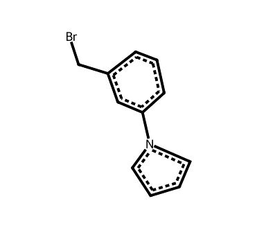 BrCc1cccc(-n2cccc2)c1